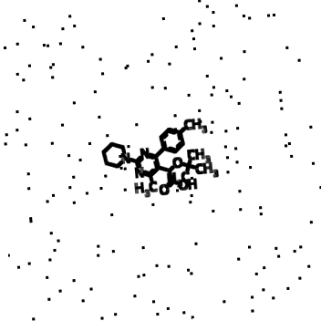 Cc1ccc(-c2nc(N3CCCCC3)nc(C)c2C(OC(C)(C)C)C(=O)O)cc1